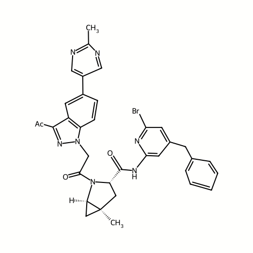 CC(=O)c1nn(CC(=O)N2[C@H](C(=O)Nc3cc(Cc4ccccc4)cc(Br)n3)C[C@@]3(C)C[C@@H]23)c2ccc(-c3cnc(C)nc3)cc12